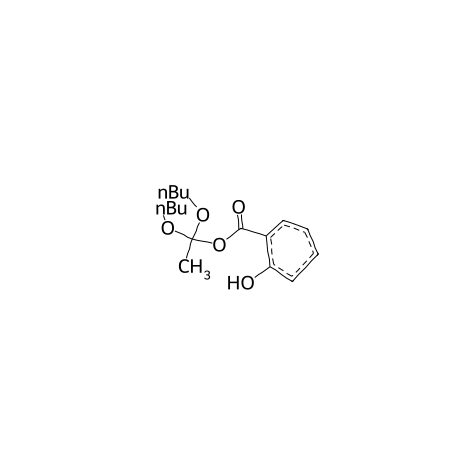 CCCCOC(C)(OCCCC)OC(=O)c1ccccc1O